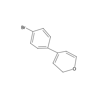 Brc1ccc(C2=CCOC=C2)cc1